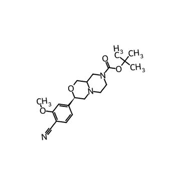 COc1cc([C@@H]2CN3CCN(C(=O)OC(C)(C)C)CC3CO2)ccc1C#N